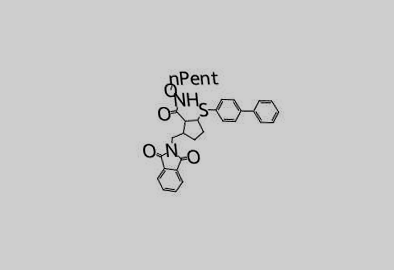 CCCCCONC(=O)C1C(CN2C(=O)c3ccccc3C2=O)CCC1Sc1ccc(-c2ccccc2)cc1